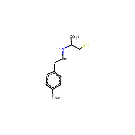 COc1ccc(C[Se]NC(CS)C(=O)O)cc1